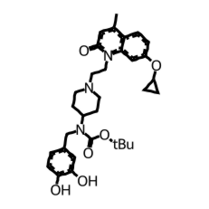 Cc1cc(=O)n(CCN2CCC(N(Cc3ccc(O)c(O)c3)C(=O)OC(C)(C)C)CC2)c2cc(OC3CC3)ccc12